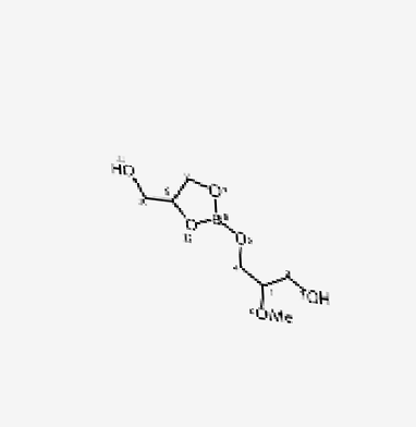 COC(CO)COB1OCC(CO)O1